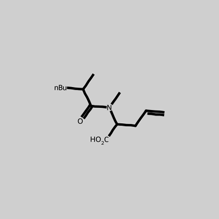 C=CCC(C(=O)O)N(C)C(=O)C(C)CCCC